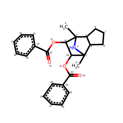 CC12NC(C)(C3CCCC31)C(OC(=O)c1ccccc1)C2OC(=O)c1ccccc1